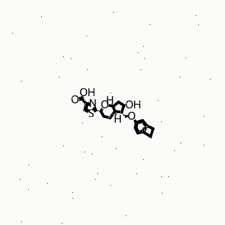 O=C(O)c1csc([C@H]2CC[C@@H]3[C@@H](COc4ccc5c(c4)CC5)[C@H](O)C[C@@H]3O2)n1